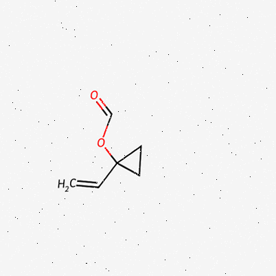 C=CC1(OC=O)CC1